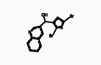 OC(c1cnc2ccccc2c1)c1cc(Br)sc1Br